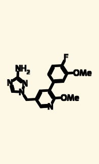 COc1cc(-c2cc(Cn3cnc(N)n3)cnc2OC)ccc1F